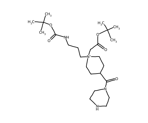 CC(C)(C)OC(=O)C[N+]1(CCCNC(=O)OC(C)(C)C)CCC(C(=O)N2CCNCC2)CC1